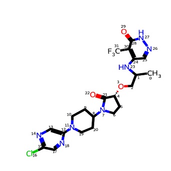 CC(CO[C@@H]1CCN(C2CCN(c3cnc(Cl)cn3)CC2)C1=O)Nc1cn[nH]c(=O)c1C(F)(F)F